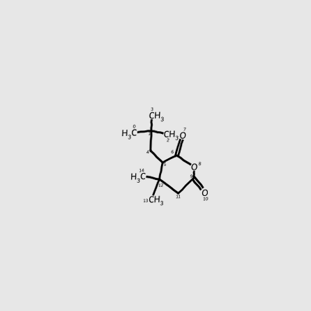 CC(C)(C)CC1C(=O)OC(=O)CC1(C)C